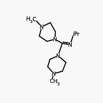 CC(C)N=C(N1CCN(C)CC1)N1CCN(C)CC1